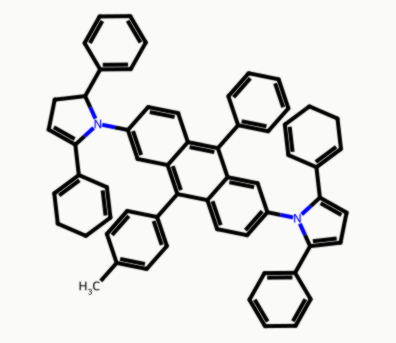 Cc1ccc(-c2c3ccc(-n4c(C5=CCCC=C5)ccc4-c4ccccc4)cc3c(-c3ccccc3)c3ccc(N4C(C5=CCCC=C5)=CCC4c4ccccc4)cc23)cc1